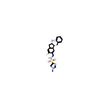 Cn1cnc(S(=O)(=O)NCc2cc3c(cc2F)C[C@H](N)[C@@H]3Cc2ccccc2)c1